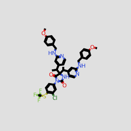 COc1ccc(CNc2cc(C(C)C3(C(C)c4ccnc(NCc5ccc(OC)cc5)c4)NC(=O)N(c4ccc(SC(F)(F)F)c(Cl)c4)C3=O)ccn2)cc1